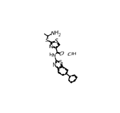 CC(N)Sc1nc(C(=O)Nc2nc3ccc(-c4ccccc4)cc3s2)cs1.Cl